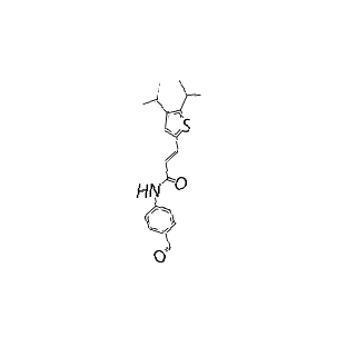 CC(C)c1cc(/C=C/C(=O)Nc2ccc(C=O)cc2)sc1C(C)C